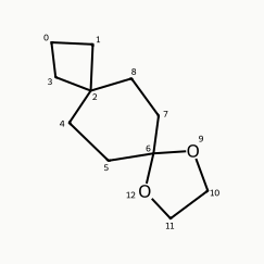 C1CC2(C1)CCC1(CC2)OCCO1